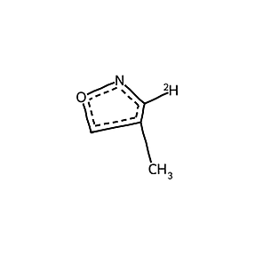 [2H]c1nocc1C